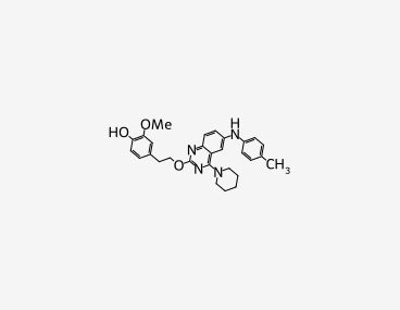 COc1cc(CCOc2nc(N3CCCCC3)c3cc(Nc4ccc(C)cc4)ccc3n2)ccc1O